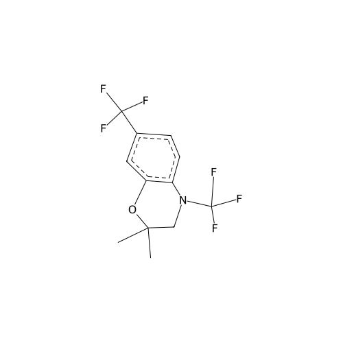 CC1(C)CN(C(F)(F)F)c2ccc(C(F)(F)F)cc2O1